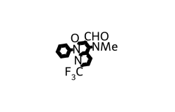 CNc1c(C=O)c(=O)n(-c2ccccc2)c2nc(C(F)(F)F)ccc12